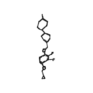 CC1CCC(C2CC=C(COc3ccc(OCC4CC4)c(F)c3F)CC2)CC1